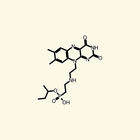 CCC(C)OP(=O)(O)CCNCCn1c2nc(=O)[nH]c(=O)c-2nc2cc(C)c(C)cc21